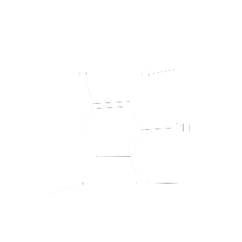 COc1cc(OC)c(OC)c(P)c1OC